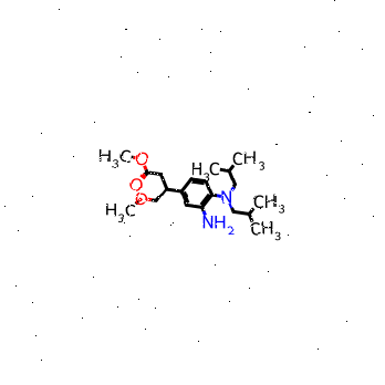 COCC(CC(=O)OC)c1ccc(N(CC(C)C)CC(C)C)c(N)c1